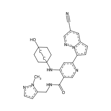 Cn1nccc1CNC(=O)c1cnc(-c2ccc3cc(C#N)cnn23)cc1NC12CCC(O)(CC1)CC2